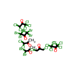 CC(=O)C(Br)Br.CC(=O)C(Cl)Cl.O=C(C(Br)(Br)Br)C(Br)(Br)Br.O=C(C(Cl)(Cl)Cl)C(Cl)(Cl)Cl.O=C(C(Cl)Cl)C(Cl)(Cl)Cl.O=C(CCl)CCl